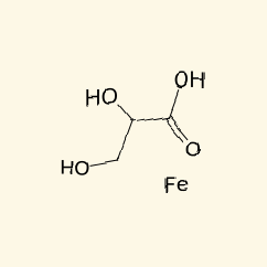 O=C(O)C(O)CO.[Fe]